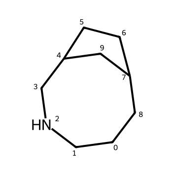 C1CNCC2CCC(C1)C2